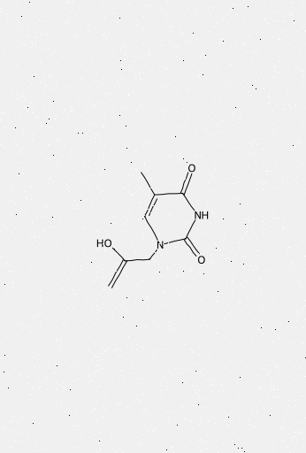 C=C(O)Cn1cc(C)c(=O)[nH]c1=O